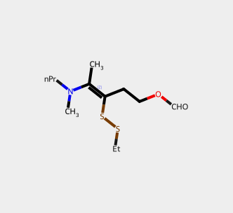 CCCN(C)/C(C)=C(/CCOC=O)SSCC